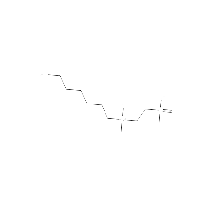 CCCCCCCCCCCCCCCC[N+](CCCC)(CCCC)CCP(=O)(O)O